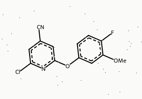 COc1cc(Oc2cc(C#N)cc(Cl)n2)ccc1F